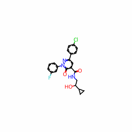 O=C(NCC(O)C1CC1)c1cc(-c2ccc(Cl)cc2)nn(-c2cccc(F)c2)c1=O